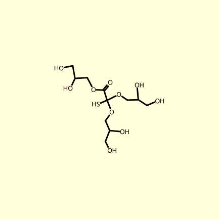 O=C(OCC(O)CO)C(S)(OCC(O)CO)OCC(O)CO